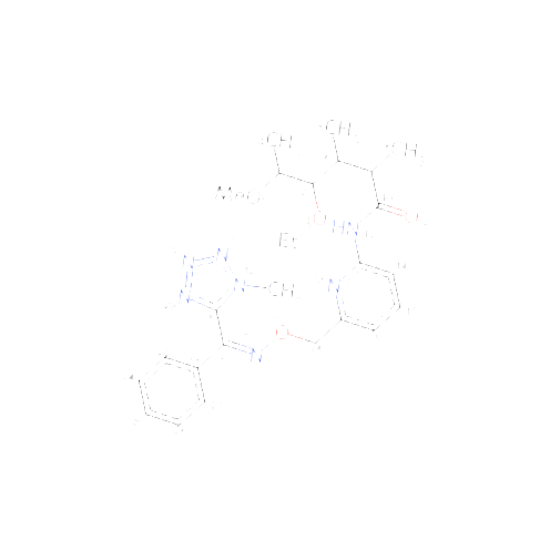 CCOC(C(C)OC)C(C)C(C)C(=O)Nc1cccc(CO/N=C(/c2ccccc2)c2nnnn2C)n1